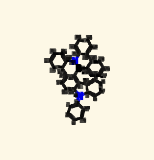 c1ccc(-n2c3ccccc3c3c4c(ccc32)-c2ccccc2N2B4c3ccccc3-c3ccccc32)cc1